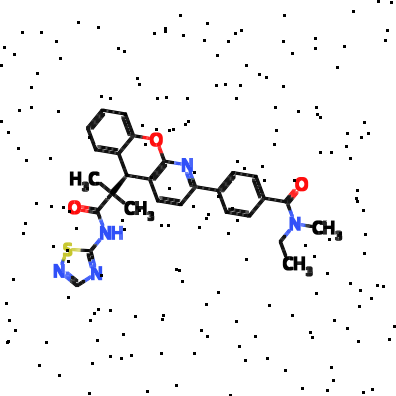 CCN(C)C(=O)c1ccc(-c2ccc3c(n2)Oc2ccccc2[C@@H]3C(C)(C)C(=O)Nc2ncns2)cc1